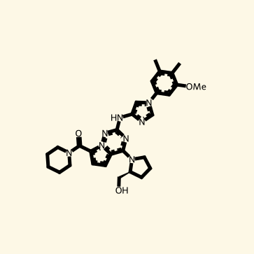 COc1cc(-n2cnc(Nc3nc(N4CCC[C@H]4CO)c4ccc(C(=O)N5CCCCC5)n4n3)c2)cc(C)c1C